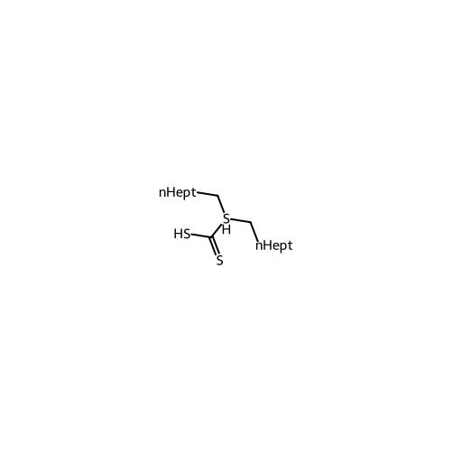 CCCCCCCC[SH](CCCCCCCC)C(=S)S